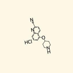 Cl.N#Cc1ccc2c(OC3CCNCC3)cccc2n1